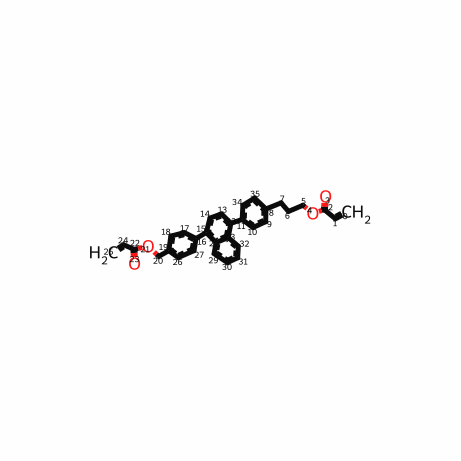 C=CC(=O)OCCCc1ccc(-c2ccc(-c3ccc(COC(=O)C=C)cc3)c3ccccc23)cc1